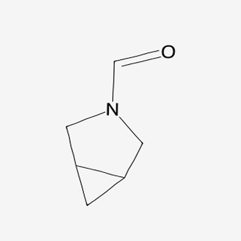 O=CN1CC2CC2C1